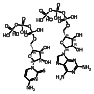 Nc1ccn([C@@H]2O[C@H](COP(=O)(O)OP(=O)(O)OP(=O)(O)O)[C@@H](O)[C@H]2O)c(=S)n1.Nc1nc(N)c2ncn([C@@H]3O[C@H](COP(=O)(O)OP(=O)(O)OP(=O)(O)O)[C@@H](O)[C@H]3O)c2n1